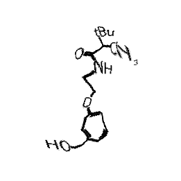 CC(C(=O)NCCOc1cccc(CO)c1)C(C)(C)C